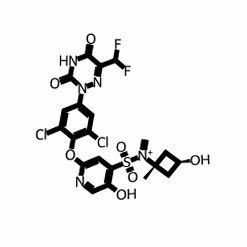 C=[N+]([C@]1(C)C[C@@H](O)C1)S(=O)(=O)c1cc(Oc2c(Cl)cc(-n3nc(C(F)F)c(=O)[nH]c3=O)cc2Cl)ncc1O